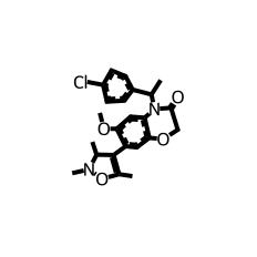 COc1cc2c(cc1C1=C(C)ON(C)C1C)OCC(=O)N2C(C)c1ccc(Cl)cc1